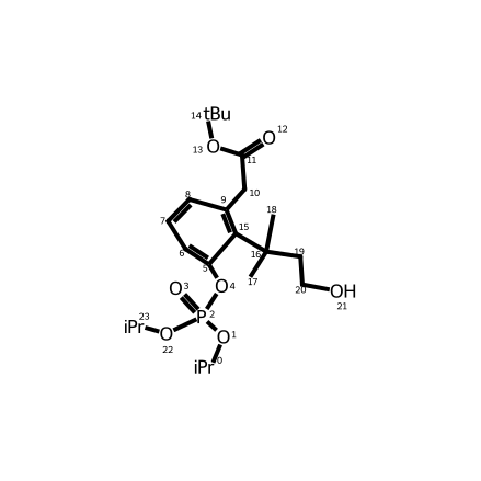 CC(C)OP(=O)(Oc1cccc(CC(=O)OC(C)(C)C)c1C(C)(C)CCO)OC(C)C